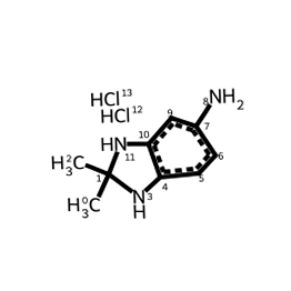 CC1(C)Nc2ccc(N)cc2N1.Cl.Cl